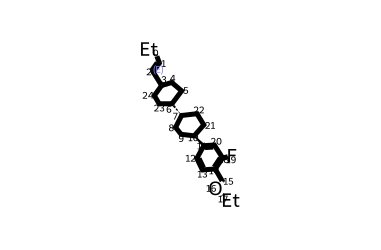 CC/C=C/C1CCC([C@H]2CC[C@H](c3ccc(COCC)c(F)c3)CC2)CC1